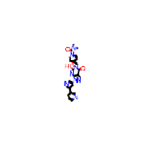 CN(C)C(=O)N1CCC(O)(Cn2cnc3c(cnn3-c3cncc(-c4cccnc4)c3)c2=O)CC1